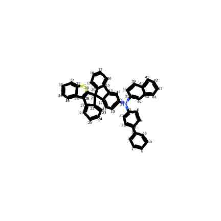 c1ccc(-c2ccc(N(c3ccc4c(c3)-c3ccccc3C43c4ccccc4-c4c3sc3ccccc43)c3ccc4ccccc4c3)cc2)cc1